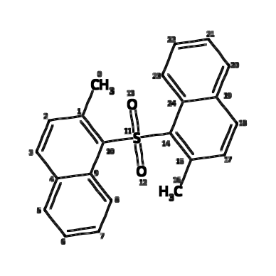 Cc1ccc2ccccc2c1S(=O)(=O)c1c(C)ccc2ccccc12